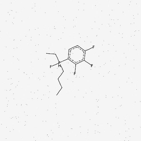 CCCC[PH](F)(CC)c1ccc(F)c(F)c1F